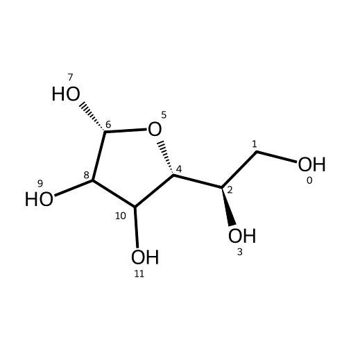 OC[C@@H](O)[C@H]1O[C@@H](O)C(O)C1O